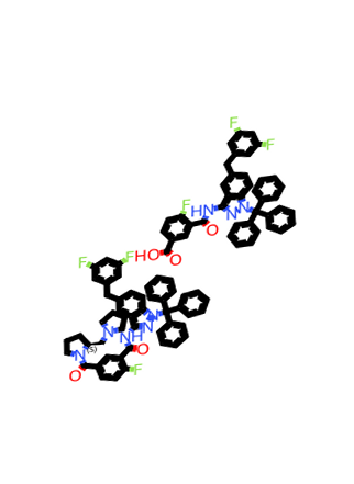 O=C(Nc1nn(C(c2ccccc2)(c2ccccc2)c2ccccc2)c2ccc(Cc3cc(F)cc(F)c3)cc12)c1cc(C(=O)N2CCC[C@H]2CN2CCCC2)ccc1F.O=C(O)c1ccc(F)c(C(=O)Nc2nn(C(c3ccccc3)(c3ccccc3)c3ccccc3)c3ccc(Cc4cc(F)cc(F)c4)cc23)c1